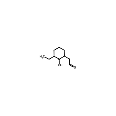 CCC1CCCC(CC=O)N1O